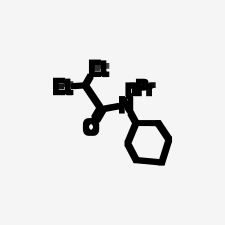 CCCN(C(=O)C(CC)CC)C1CCCCC1